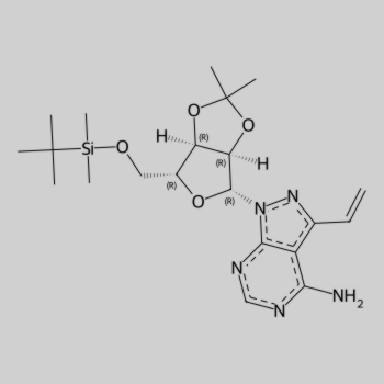 C=Cc1nn([C@@H]2O[C@H](CO[Si](C)(C)C(C)(C)C)[C@H]3OC(C)(C)O[C@H]32)c2ncnc(N)c12